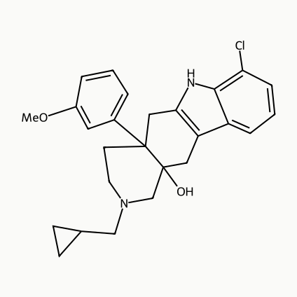 COc1cccc(C23CCN(CC4CC4)CC2(O)Cc2c([nH]c4c(Cl)cccc24)C3)c1